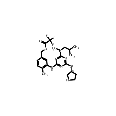 Cc1ccc(COC(=O)C(F)(F)F)cc1Nc1nc(N[C@H]2CCNC2)nc(N(C)CC(C)C)n1